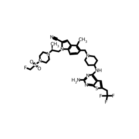 Cc1c(CN2CCC(Nc3nc(N)nc4sc(CC(F)(F)F)cc34)CC2)ccc2c1cc(C#N)n2C[C@H](C)N1CCN(S(=O)(=O)CF)CC1